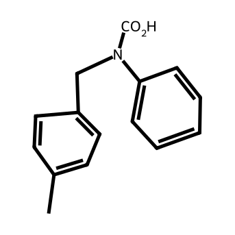 Cc1ccc(CN(C(=O)O)c2ccccc2)cc1